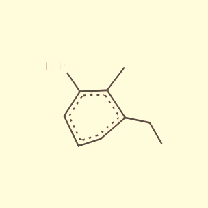 CCc1cccc(P)c1C